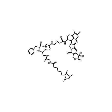 CC[C@@]1(O)C(=O)OCc2c1cc1n(c2=O)Cc2c-1nc1cc(F)c(C)c3c1c2[C@@H](NC(=O)COCNC(=O)CNC(=O)[C@H](Cc1ccccc1)NC(O)CNC(=O)CNC(=O)CCCCCN1C(=O)C=C(C)C1=O)CC3